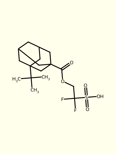 CC(C)(C)C12CC3CC(CC(C(=O)OCC(F)(F)S(=O)(=O)O)(C3)C1)C2